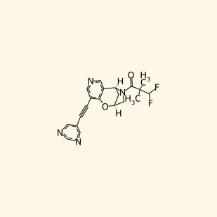 CC(C)(C(=O)N1C[C@@H]2C[C@H]1c1cncc(C#Cc3cncnc3)c1O2)C(F)F